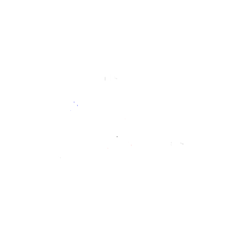 CCCCCCCCCCCCO[Si](CCC(C)N)(OCCCCCCCCCCCC)OCCCCCCCCCCCC